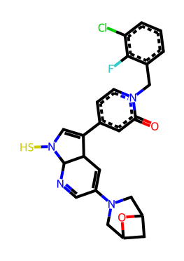 O=c1cc(C2=CN(S)C3N=CC(N4CC5CC(C4)O5)=CC23)ccn1Cc1cccc(Cl)c1F